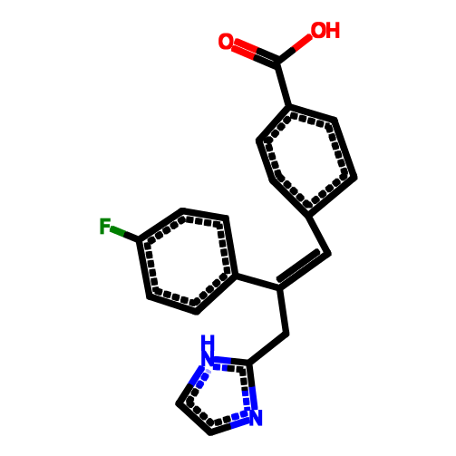 O=C(O)c1ccc(C=C(Cc2ncc[nH]2)c2ccc(F)cc2)cc1